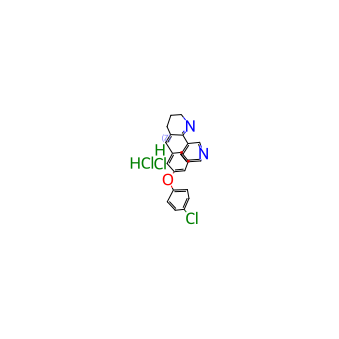 Cl.Cl.Clc1ccc(Oc2cccc(/C=C3/CCCN=C3c3cccnc3)c2)cc1